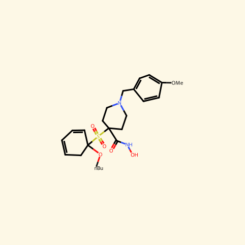 CCCCOC1(S(=O)(=O)C2(C(=O)NO)CCN(Cc3ccc(OC)cc3)CC2)C=CC=CC1